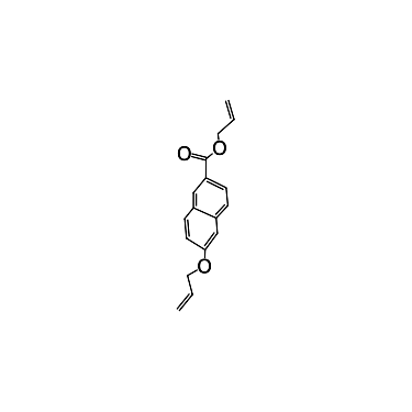 C=CCOC(=O)c1ccc2cc(OCC=C)ccc2c1